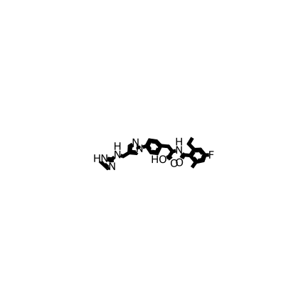 CCc1cc(F)cc(C)c1C(=O)NC(Cc1ccc(-n2cc(CNc3ncc[nH]3)cn2)cc1)C(=O)O